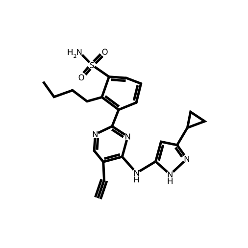 C#Cc1cnc(-c2cccc(S(N)(=O)=O)c2CCCC)nc1Nc1cc(C2CC2)n[nH]1